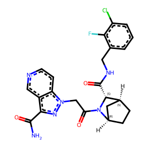 NC(=O)c1nn(CC(=O)N2[C@@H]3CC[C@@H](C3)[C@H]2C(=O)NCc2cccc(Cl)c2F)c2ccncc12